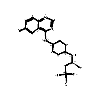 Cc1ccc2ncnc(NC3CCC(N[C@@H](C)CC(F)(F)F)CC3)c2c1